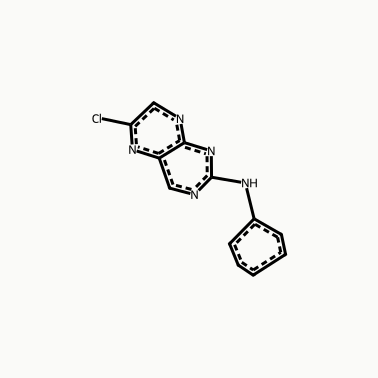 Clc1cnc2nc(Nc3ccccc3)ncc2n1